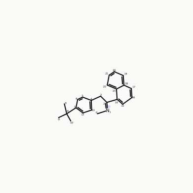 C/N=C(\Cc1ccc(C(C)(C)C)cc1)c1cccc2ccccc12